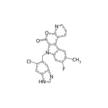 Cc1cc2c3c4cccnc4oc(=O)c3n(Cc3cc4nc[nH]c4cc3Cl)c2cc1F